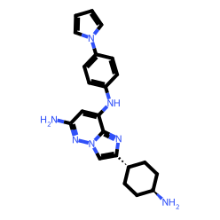 Nc1cc(Nc2ccc(-n3cccc3)cc2)c2nc([C@H]3CC[C@H](N)CC3)cn2n1